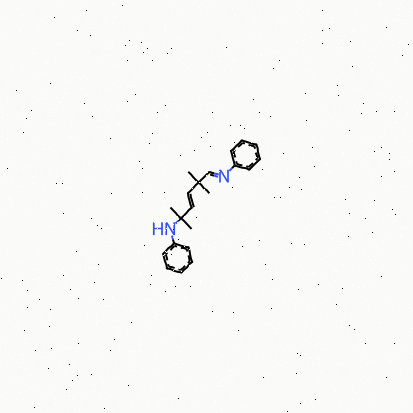 CC(C)(/C=C/C(C)(C)Nc1ccccc1)/C=N/c1ccccc1